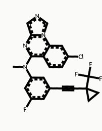 CN(c1cc(F)cc(C#CC2(C(F)(F)F)CC2)c1)c1nc2cncn2c2cc(Cl)ccc12